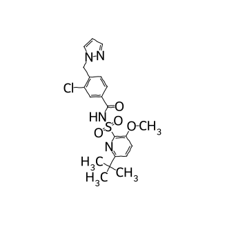 COc1ccc(C(C)(C)C)nc1S(=O)(=O)NC(=O)c1ccc(Cn2cccn2)c(Cl)c1